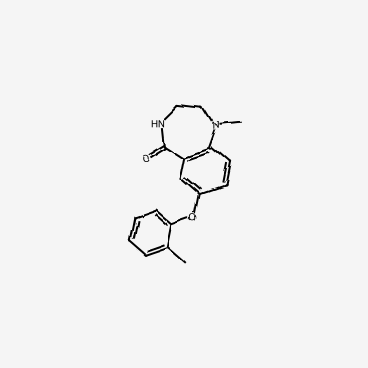 Cc1ccccc1Oc1ccc2c(c1)C(=O)NCCN2C